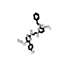 CCOC(=O)c1cnc(NCCNc2ccc([N+](=O)[O-])c(NCc3ccccc3)n2)nc1-c1ccc(C#N)cc1